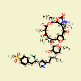 CC[C@H]1OC(=O)[C@H](C)C(=O)[C@H](C)[C@@H](O[C@@H]2O[C@H](C)C[C@H](N(C)CCc3cn([C@H](CF)Cc4ccc(S(C)(=O)=O)cc4)nn3)[C@H]2O)[C@@]2(C)C[C@@H](CO2)C(=O)[C@H](C)[C@H]2N(N)C(=O)O[C@]12C